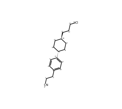 N#CCCc1ccc([C@H]2CC[C@H](CCCCl)CC2)cc1